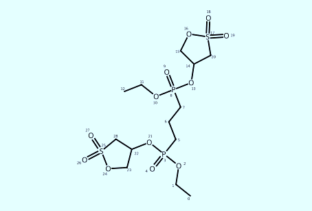 CCOP(=O)(CCCP(=O)(OCC)OC1COS(=O)(=O)C1)OC1COS(=O)(=O)C1